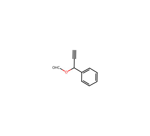 C#CC(OC=O)c1ccccc1